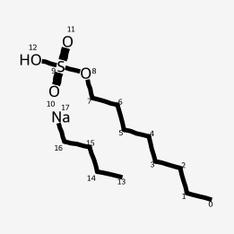 CCCCCCCCOS(=O)(=O)O.CCC[CH2][Na]